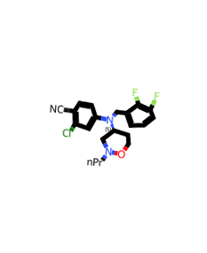 CCCN1C[C@@H](N(Cc2cccc(F)c2F)c2ccc(C#N)c(Cl)c2)CCO1